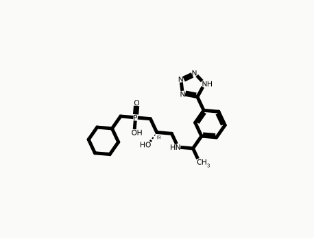 CC(NC[C@H](O)CP(=O)(O)CC1CCCCC1)c1cccc(-c2nnn[nH]2)c1